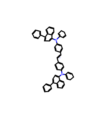 C1=CC(N(c2ccc(/C=C/c3ccc(N(C4=CCCC=C4)c4ccc(-c5ccccc5)c5ccccc45)cc3)cc2)c2ccc(-c3ccccc3)c3ccccc23)=CCC1